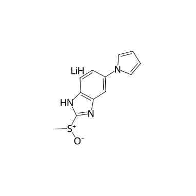 C[S+]([O-])c1nc2cc(-n3cccc3)ccc2[nH]1.[LiH]